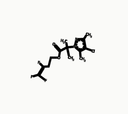 Cc1nn(C(C)(C)C(=O)OCCC(F)=C(F)F)c(C)c1Cl